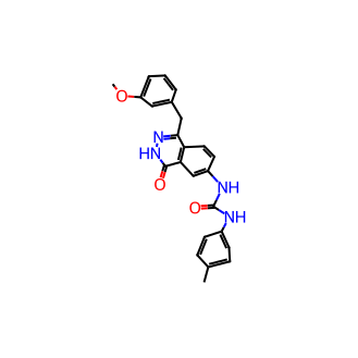 COc1cccc(Cc2n[nH]c(=O)c3cc(NC(=O)Nc4ccc(C)cc4)ccc23)c1